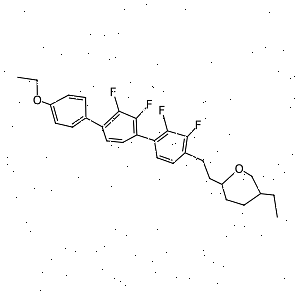 CCOc1ccc(-c2ccc(-c3ccc(CCC4CCC(CC)CO4)c(F)c3F)c(F)c2F)cc1